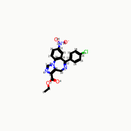 CCOC(=O)c1ncn2c1CN=C(c1ccc(Cl)cc1)c1cc([N+](=O)[O-])ccc1-2